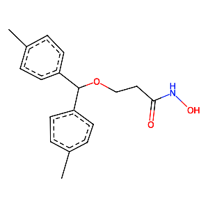 Cc1ccc(C(OCCC(=O)NO)c2ccc(C)cc2)cc1